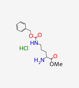 COC(=O)C(N)CCCNC(=O)OCc1ccccc1.Cl